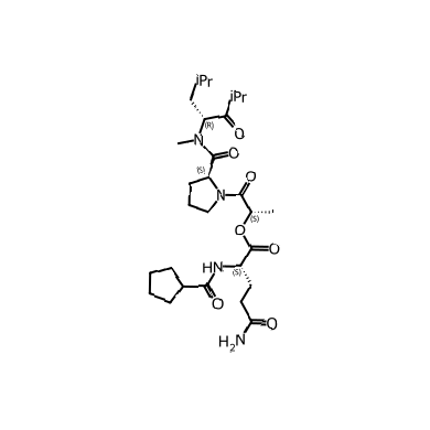 CC(C)C[C@H](C(=O)C(C)C)N(C)C(=O)[C@@H]1CCCN1C(=O)[C@H](C)OC(=O)[C@H](CCC(N)=O)NC(=O)C1CCCC1